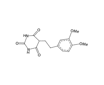 COc1ccc(CCC2C(=O)NC(=O)NC2=O)cc1OC